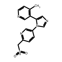 Cc1ccncc1-c1cncn1-c1ccc(C[SH](=O)=O)nc1